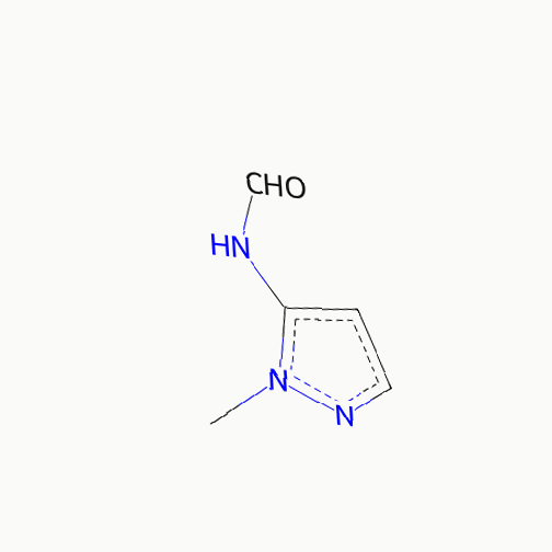 Cn1nccc1NC=O